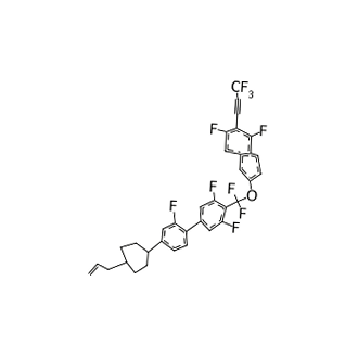 C=CCC1CCC(c2ccc(-c3cc(F)c(C(F)(F)Oc4ccc5c(F)c(C#CC(F)(F)F)c(F)cc5c4)c(F)c3)c(F)c2)CC1